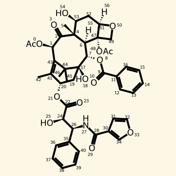 CC(=O)O[C@H]1C(=O)[C@@]2(C)[C@H]([C@H](OC(=O)c3ccccc3)[C@]3(O)C[C@H](OC(=O)[C@H](O)[C@@H](NC(=O)c4ccoc4)c4ccccc4)C(C)=C1C3(C)C)[C@]1(OC(C)=O)CO[C@@H]1C[C@@H]2O